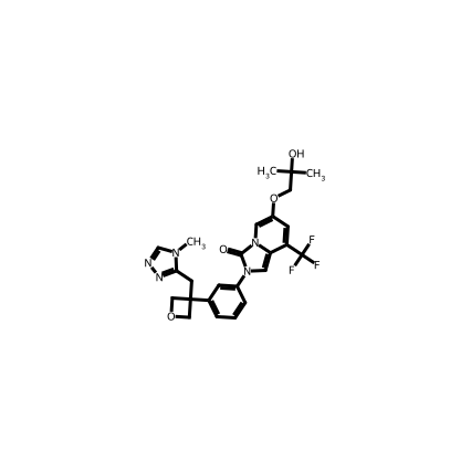 Cn1cnnc1CC1(c2cccc(-n3cc4c(C(F)(F)F)cc(OCC(C)(C)O)cn4c3=O)c2)COC1